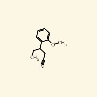 CCC(CC#N)c1ccccc1OC